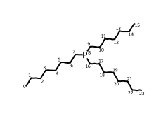 CCCCCCCCP(CCCCCCC)CCCCCCCC